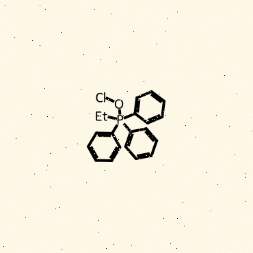 CCP(OCl)(c1ccccc1)(c1ccccc1)c1ccccc1